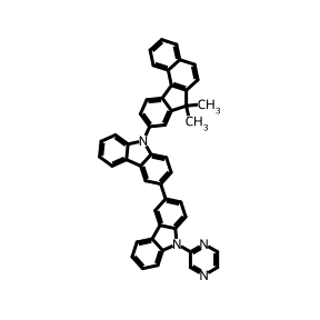 CC1(C)c2cc(-n3c4ccccc4c4cc(-c5ccc6c(c5)c5ccccc5n6-c5cnccn5)ccc43)ccc2-c2c1ccc1ccccc21